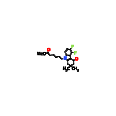 COC(=O)CCCCCn1c2c(c3c(F)c(F)ccc31)C(=O)CC(C)(C)C2